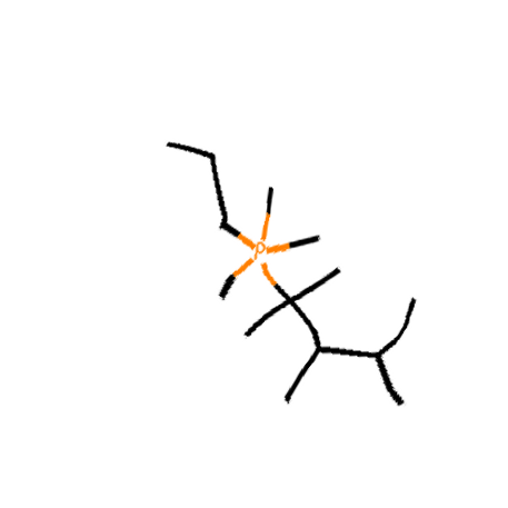 CCCP(C)(C)(C)C(C)(C)C(C)C(C)C